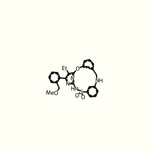 CCc1c2nc(nc1-c1ccccc1COC)NS(=O)(=O)c1cccc(c1)NCc1cccc(c1)O2